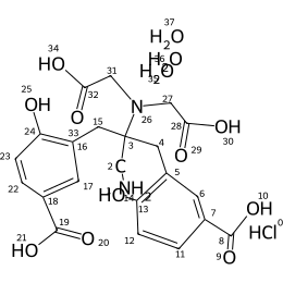 Cl.NCC(Cc1cc(C(=O)O)ccc1O)(Cc1cc(C(=O)O)ccc1O)N(CC(=O)O)CC(=O)O.O.O.O